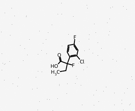 CCC(F)(C(=O)O)c1ccc(F)cc1Cl